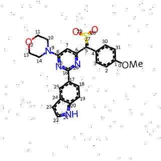 COc1ccc(C(c2cc(N3CCOCC3)nc(-c3ccc4[nH]ccc4c3)n2)=S(=O)=O)cc1